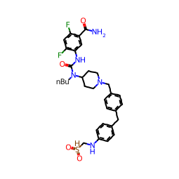 CCCCN(C(=O)Nc1cc(C(N)=O)c(F)cc1F)C1CCN(Cc2ccc(Cc3ccc(NC[SH](=O)=O)cc3)cc2)CC1